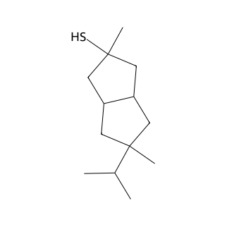 CC(C)C1(C)CC2CC(C)(S)CC2C1